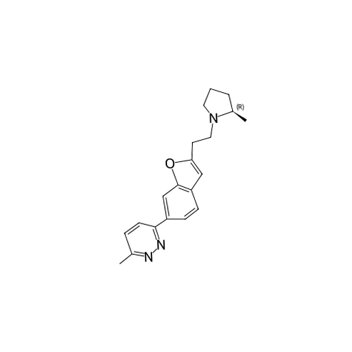 Cc1ccc(-c2ccc3cc(CCN4CCC[C@H]4C)oc3c2)nn1